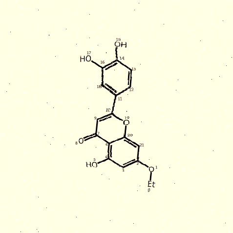 CCOc1cc(O)c2c(=O)cc(-c3ccc(O)c(O)c3)oc2c1